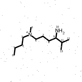 CCCCN(C)CCCC(N)C(C)C